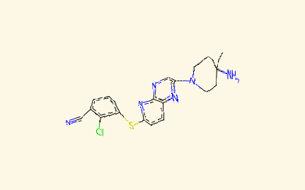 CC1(N)CCN(c2cnc3nc(Sc4cccc(C#N)c4Cl)ccc3n2)CC1